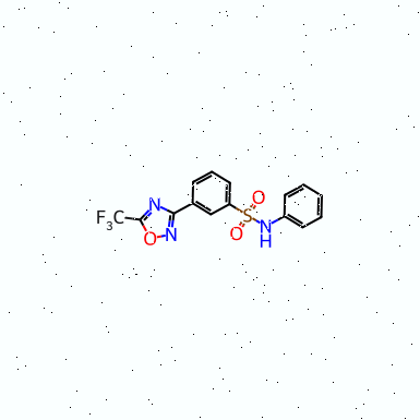 O=S(=O)(Nc1ccccc1)c1cccc(-c2noc(C(F)(F)F)n2)c1